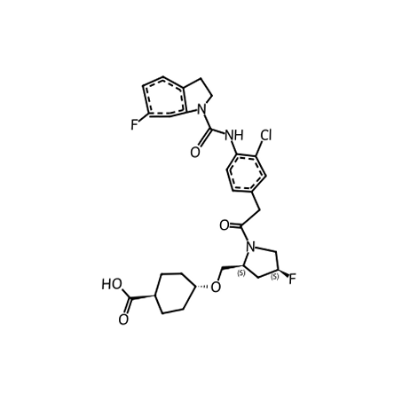 O=C(Nc1ccc(CC(=O)N2C[C@@H](F)C[C@H]2CO[C@H]2CC[C@H](C(=O)O)CC2)cc1Cl)N1CCc2ccc(F)cc21